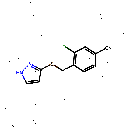 N#Cc1ccc(CSc2cc[nH]n2)c(F)c1